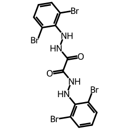 O=C(NNc1c(Br)cccc1Br)C(=O)NNc1c(Br)cccc1Br